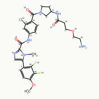 COc1ccc(-c2cnc(C(=O)Nc3ccc(C(=O)N4CCC(NC(=O)CCOCCN)C4)c(Cl)c3)n2C)c(F)c1F